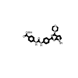 COC(=O)c1ccc(NC(=O)Nc2ccc(-c3nc(N4CCOCC4)c4ccn(C(C)C)c4n3)cc2)cc1